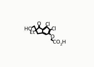 CCC1(CO)Cc2cc(OCC(=O)O)c(Cl)c(Cl)c2C1=O